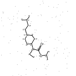 CCN(C(=O)OC(C)C)C1CCN(CCC(C)C)CC1